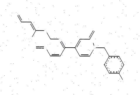 C=C/C=C(\C=C/N(C)Cc1ccc(CC)cc1)C(/C=C\N=C)=N/CN/C(=C/C=N)NC